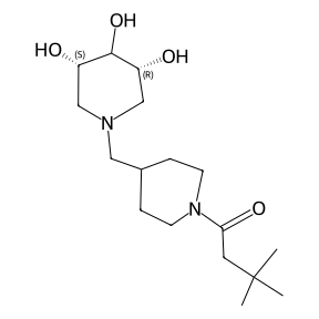 CC(C)(C)CC(=O)N1CCC(CN2C[C@@H](O)C(O)[C@@H](O)C2)CC1